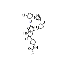 COC(=O)Nc1ccc(-c2cc([C@H](Cc3ccc(F)cc3)NC(=O)/C=C/c3cc(Cl)ccc3-n3cnnn3)n[nH]c2=O)cc1